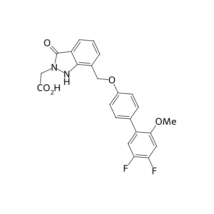 COc1cc(F)c(F)cc1-c1ccc(OCc2cccc3c(=O)n(CC(=O)O)[nH]c23)cc1